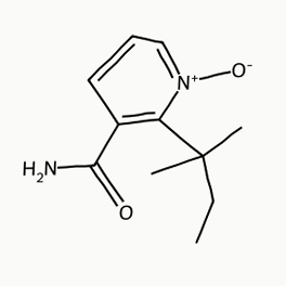 CCC(C)(C)c1c(C(N)=O)ccc[n+]1[O-]